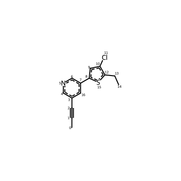 CC#Cc1cncc(-c2cc(Cl)c(CC)s2)c1